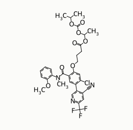 COc1ccccc1N(C)C(=O)c1cc(-c2cnc(C(F)(F)F)cc2C#N)c(Cl)cc1OCCCC(=O)OC(C)OC(=O)OC(C)C